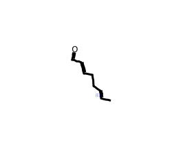 C/C=C/CCC=CC=O